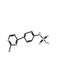 CS(=O)(=O)Nc1ccc(-c2ccnc(Cl)n2)cc1